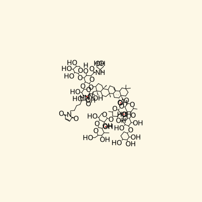 CC1OC(OC2C(C)OC(OC(=O)[C@]34CCC(C)(C)CC3C3=CCC5[C@@]6(C)CC[C@H](OC7OC(C(=O)NC(C)(CO)CO)C(O)C(OC8OCC(O)C(O)C8O)C7OC7OC(CO)C(O)C(O)C7O)[C@@](C)(/C=N/NC(=O)CCCCCN7C(=O)C=CC7=O)C6CC[C@@]5(C)[C@]3(C)C[C@H]4O)C(OC3OC(C)C(OC4OCC(O)C(OC5OC(CO)C(O)C(C)C5O)C4O)C(O)C3O)C2O)C(O)C(OC2CCC(O)C(O)C2O)C1O